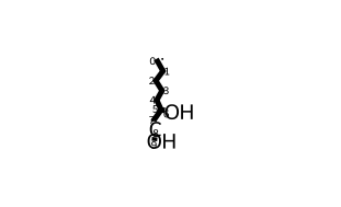 [CH2]CCCCC(O)CCO